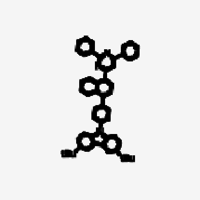 CC(C)(C)c1ccc2c(c1)c1cc(C(C)(C)C)ccc1n2-c1ccc(-c2ccc(-c3cc(-c4ccccc4)nc(-c4ccccc4)n3)c3ccccc23)cc1